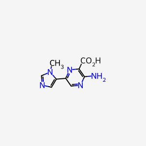 Cn1cncc1-c1cnc(N)c(C(=O)O)n1